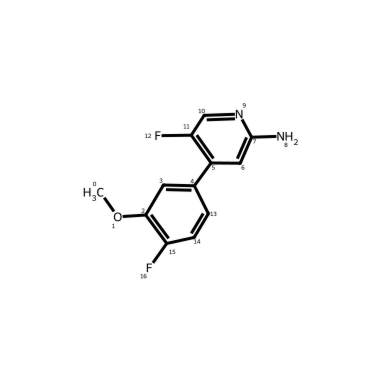 COc1cc(-c2cc(N)ncc2F)ccc1F